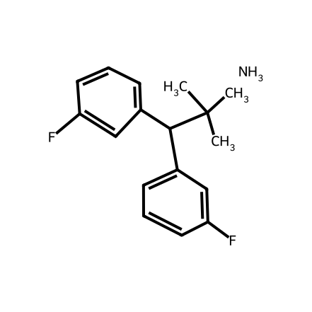 CC(C)(C)C(c1cccc(F)c1)c1cccc(F)c1.N